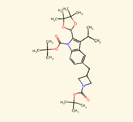 CC(C)c1c(B2OC(C)(C)C(C)(C)O2)n(C(=O)OC(C)(C)C)c2ccc(CC3CN(C(=O)OC(C)(C)C)C3)cc12